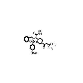 COc1ccc(S(=O)(=O)N(Cc2ccccc2)[C@@H](C(=O)NO)C2CCN(C(=O)CN(C)C)CC2)cc1